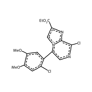 CCOC(=O)c1cn2c(-c3cc(OC)c(OC)cc3Cl)cnc(Cl)c2n1